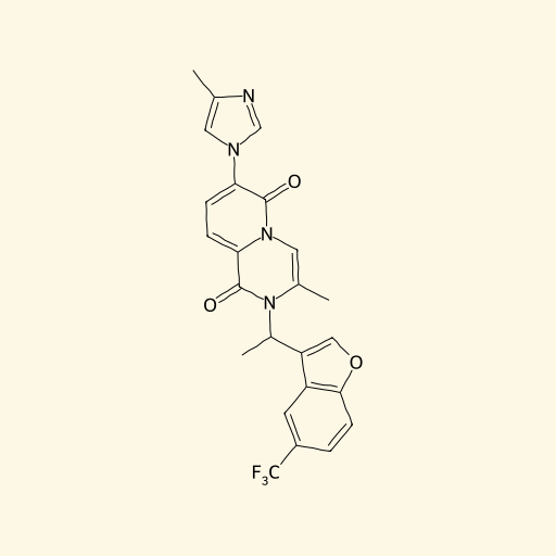 Cc1cn(-c2ccc3c(=O)n(C(C)c4coc5ccc(C(F)(F)F)cc45)c(C)cn3c2=O)cn1